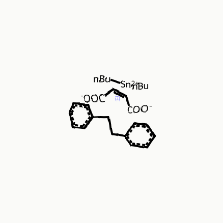 CCC[CH2][Sn+2][CH2]CCC.O=C([O-])/C=C\C(=O)[O-].c1ccc(CCc2ccccc2)cc1